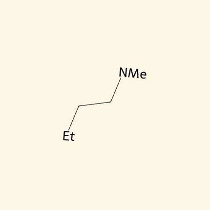 [C]NCCCC